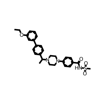 CCOc1cccc(-c2ccc(C(C)N3CCN(c4ccc(C(=O)NS(C)(=O)=O)cc4)CC3)cc2)c1